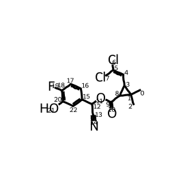 CC1(C)C(C=C(Cl)Cl)C1C(=O)OC(C#N)c1ccc(F)c(O)c1